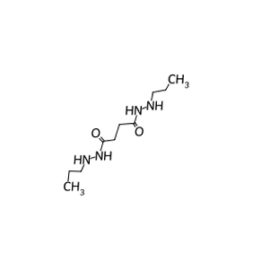 CCCNNC(=O)CCC(=O)NNCCC